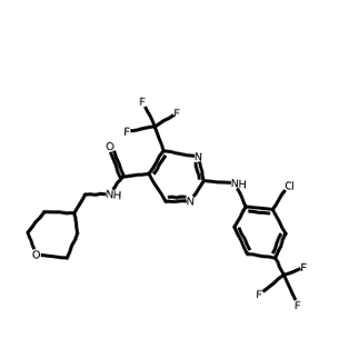 O=C(NCC1CCOCC1)c1cnc(Nc2ccc(C(F)(F)F)cc2Cl)nc1C(F)(F)F